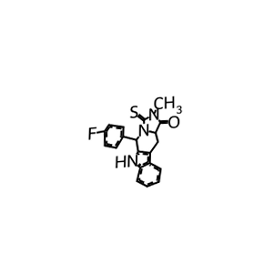 CN1C(=O)C2Cc3c([nH]c4ccccc34)C(c3ccc(F)cc3)N2C1=S